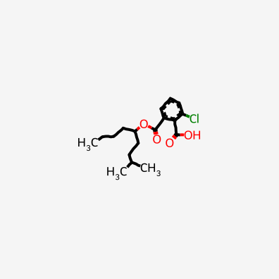 CCCCC(CCC(C)C)OC(=O)c1cccc(Cl)c1C(=O)O